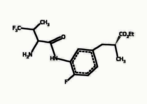 CCOC(=O)[C@H](C)Cc1ccc(F)c(NC(=O)C(N)C(C)C(F)(F)F)c1